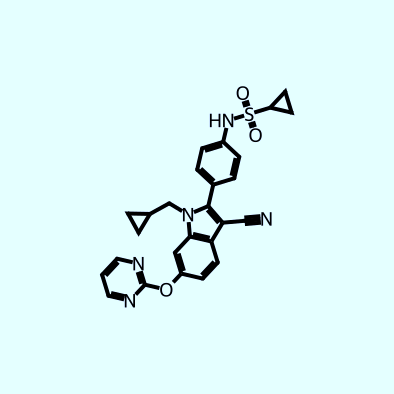 N#Cc1c(-c2ccc(NS(=O)(=O)C3CC3)cc2)n(CC2CC2)c2cc(Oc3ncccn3)ccc12